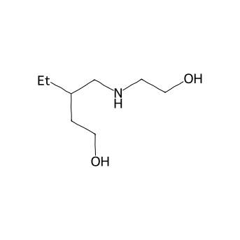 CCC(CCO)CNCCO